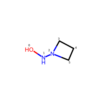 ONN1CCC1